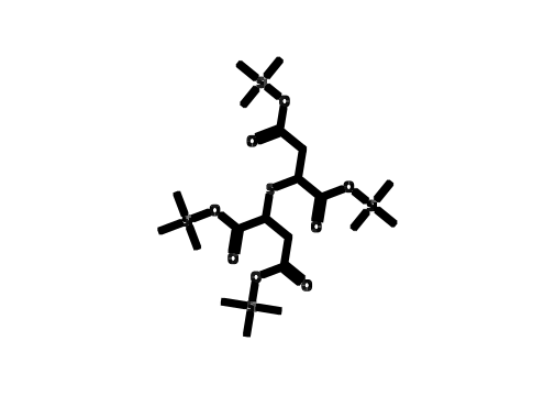 C[Si](C)(C)OC(=O)CC(SC(CC(=O)O[Si](C)(C)C)C(=O)O[Si](C)(C)C)C(=O)O[Si](C)(C)C